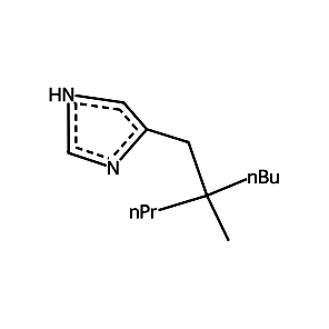 CCCCC(C)(CCC)Cc1c[nH]cn1